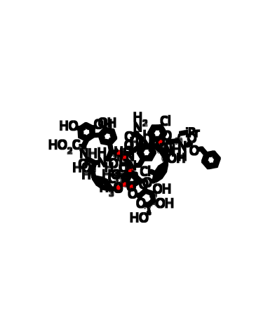 CC(C)C[C@H](NC(=O)OCc1ccccc1)C(=O)N[C@H]1C(=O)N[C@@H](CC(N)=O)C(=O)N[C@H]2C(=O)N[C@H]3C(=O)NC(C(=O)N[C@H](C(=O)O)c4cc(O)cc(O)c4-c4cc3ccc4O)[C@H](O)c3ccc(c(Cl)c3)Oc3cc2cc(c3OC2O[C@H](CO)[C@@H](O)[C@H](O)C2O[C@H]2C[C@](C)(NCc3ccc(-c4ccc(Cl)cc4)cc3)[C@H](O)[C@H](C)O2)Oc2ccc(cc2Cl)[C@H]1O